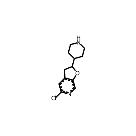 Clc1cc2c(cn1)OC(C1CCNCC1)C2